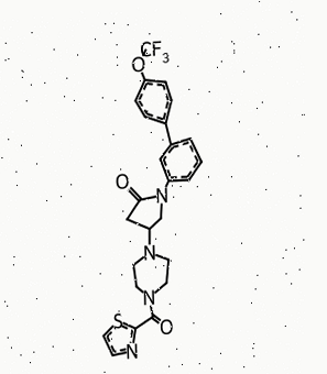 O=C(c1nccs1)N1CCN(C2CC(=O)N(c3cccc(-c4ccc(OC(F)(F)F)cc4)c3)C2)CC1